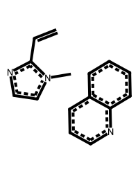 C=Cc1nccn1C.c1ccc2ncccc2c1